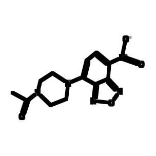 CC(=O)N1CCN(c2ccc([N+](=O)[O-])c3nonc23)CC1